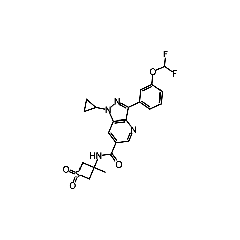 CC1(NC(=O)c2cnc3c(-c4cccc(OC(F)F)c4)nn(C4CC4)c3c2)CS(=O)(=O)C1